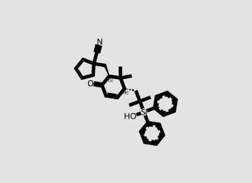 CC1(C)[C@H](CC2(C#N)CCCC2)C(=O)C=C[C@H]1CC(C)(C)[Si](O)(c1ccccc1)c1ccccc1